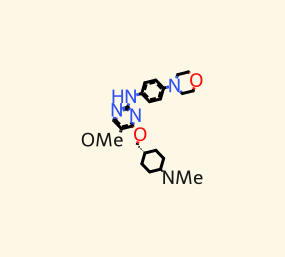 CN[C@H]1CC[C@H](COc2nc(Nc3ccc(N4CCOCC4)cc3)ncc2OC)CC1